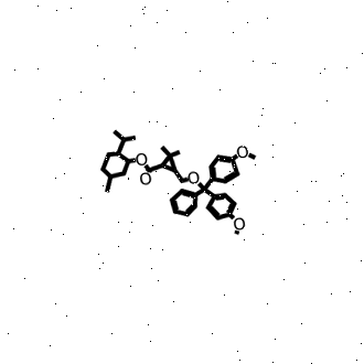 COc1ccc(C(OCC2C(C(=O)OC3CC(C)CCC3C(C)C)C2(C)C)(c2ccccc2)c2ccc(OC)cc2)cc1